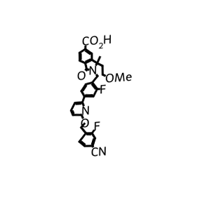 COCCC1(C)c2cc(C(=O)O)ccc2C(=O)N1Cc1ccc(-c2cccc(OCc3ccc(C#N)cc3F)n2)cc1F